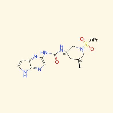 CCCS(=O)(=O)N1C[C@@H](C)C[C@H](NC(=O)Nc2cnc3[nH]ccc3n2)C1